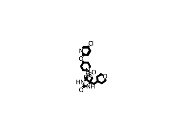 O=C1NC(=O)C(CC2CCOCC2)(CS(=O)(=O)N2CCC(Oc3ccc(Cl)cn3)CC2)N1